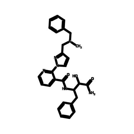 CN(Cc1ccccc1)Cc1ccn(-c2ncccc2C(=O)NC(Cc2ccccc2)C(O)C(N)=O)n1